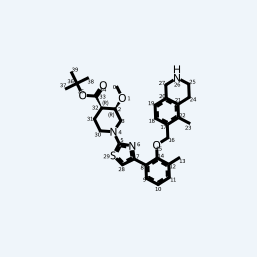 CO[C@H]1CN(c2nc(-c3cccc(C)c3OCc3ccc4c(c3C)CCNC4)cs2)CC[C@H]1C(=O)OC(C)(C)C